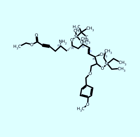 CCOC(=O)C#CC[C@H](N)C[C@@H](C[C@H](C)/C=C/[C@@H](C)C(COCc1ccc(OC)cc1)O[Si](CC)(CC)CC)O[Si](C)(C)C(C)(C)C